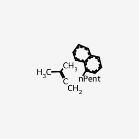 C=C=C(C)C.CCCCCc1cccc2ccccc12